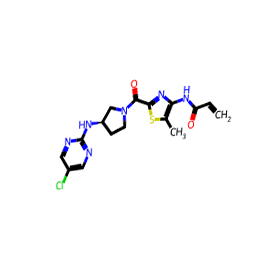 C=CC(=O)Nc1nc(C(=O)N2CC[C@@H](Nc3ncc(Cl)cn3)C2)sc1C